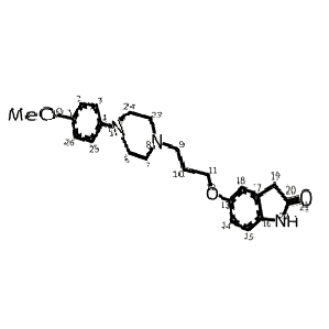 COc1ccc(N2CCN(CCCOc3ccc4c(c3)CC(=O)N4)CC2)cc1